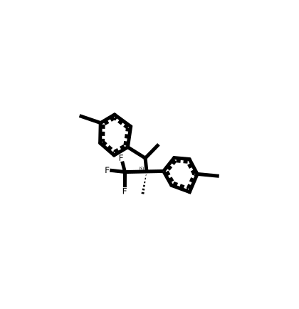 Cc1ccc(C(C)[C@@](C)(c2ccc(C)cc2)C(F)(F)F)cc1